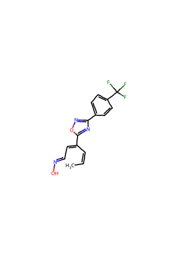 C\C=C/C(=C\C=N\O)c1nc(-c2ccc(C(F)(F)F)cc2)no1